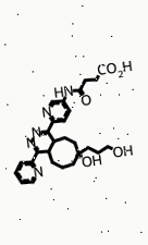 O=C(O)CCC(=O)Nc1ccc(C2=NN=C(c3ccccn3)C3CCC[C@@](O)(CCCO)CCC23)nc1